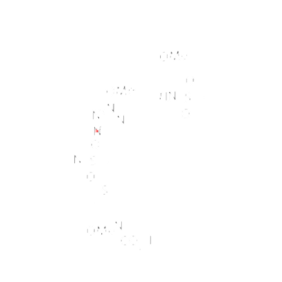 COc1ccc(CN(Cc2ccc(OC)cc2)S(=O)(=O)c2c(SC3CN(C(=O)O)C3)ccc(-c3ccc(NS(=O)(=O)C4CC4)cc3)c2-c2nnnn2Cc2ccc(OC)cc2)cc1